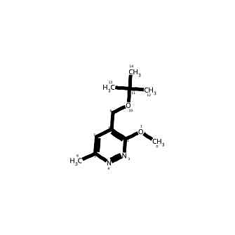 COc1nnc(C)cc1COC(C)(C)C